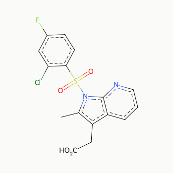 Cc1c(CC(=O)O)c2cccnc2n1S(=O)(=O)c1ccc(F)cc1Cl